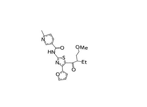 CCC(CCOC)C(=O)c1sc(NC(=O)c2ccc(C)nc2)nc1-c1ccco1